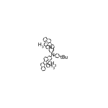 CC(C)(C)c1ccc(N(c2ccc3c4c(ccc3c2)-c2ccc3ccccc3c2C4(C)C)c2ccc3c4c(ccc3c2)-c2ccc3ccccc3c2C4(C)C)cc1